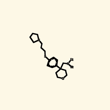 CCN(CC)CC1(c2ccc(SCCCN3CCCC3)cc2)CCOCC1